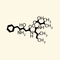 CC[C@H](C)[C@H](NC(=O)C[C@H](O)[C@@H](N)Cc1ccccc1)C(=O)N[C@H](C(=O)O)C(C)C